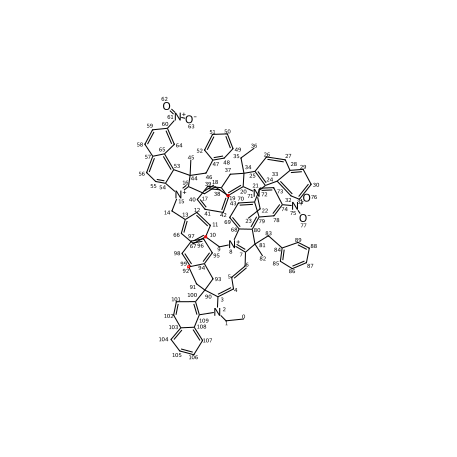 CCN1/C(=C/C=C/C2=[N+](Cc3ccc(C[N+]4=C(/C=C/C=C5/N(CC)c6c(ccc7ccccc67)C5(CC)Cc5ccccc5)C(C)(Cc5ccccc5)c5c4ccc4ccc([N+](=O)[O-])cc54)cc3)c3ccc4ccc([N+](=O)[O-])cc4c3C2(C)Cc2ccccc2)C(CC)(Cc2ccccc2)c2ccc3ccccc3c21